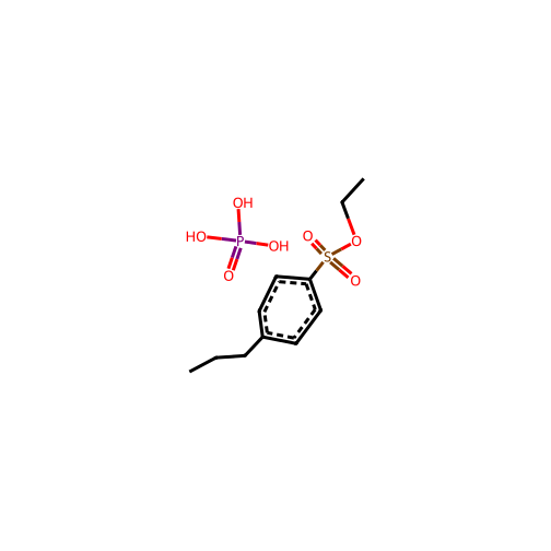 CCCc1ccc(S(=O)(=O)OCC)cc1.O=P(O)(O)O